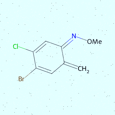 C=C1C=C(Br)C(Cl)=C/C1=N/OC